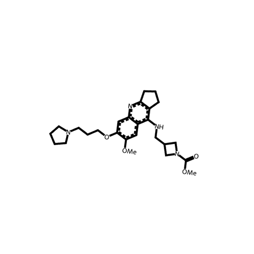 COC(=O)N1CC(CNc2c3c(nc4cc(OCCCN5CCCC5)c(OC)cc24)CCC3)C1